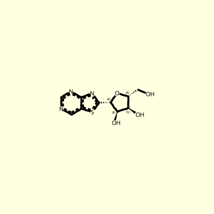 OC[C@H]1O[C@@H](c2nc3ncncc3s2)[C@H](O)[C@@H]1O